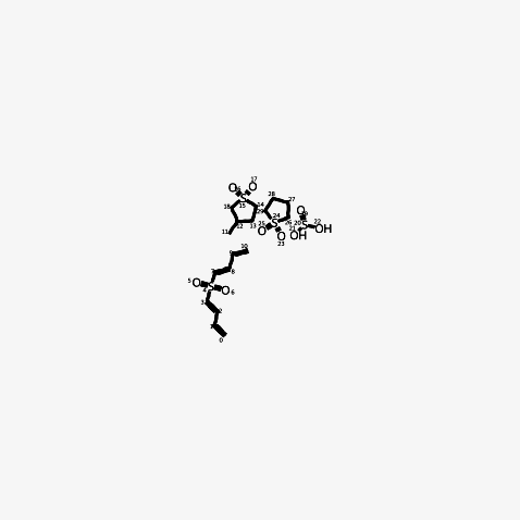 C=CC=CS(=O)(=O)C=CC=C.CC1CCS(=O)(=O)C1.O=S(O)O.O=S1(=O)CCCC1